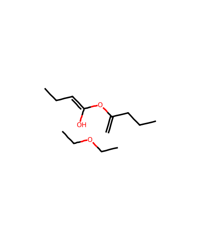 C=C(CCC)O/C(O)=C/CC.CCOCC